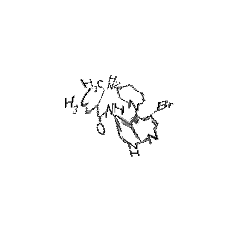 CCC(CC)C(=O)Nc1c[nH]c2ncc(Br)c(N3CCC[C@@H](N)C3)c12